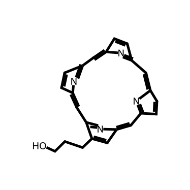 OCCCC1=CC2=CC3=NC(=CC4=NC(=CC5=NC(=CC1=N2)C=C5)C=C4)C=C3